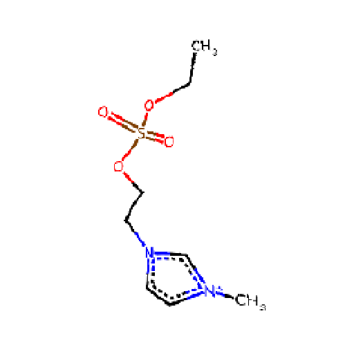 CCOS(=O)(=O)OCCn1cc[n+](C)c1